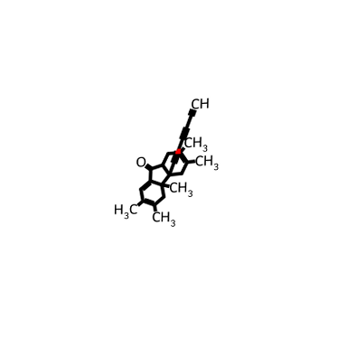 C#CC#CC#CC12CC(C)=C(C)CC1C(=O)C1=CC(C)=C(C)CC12C